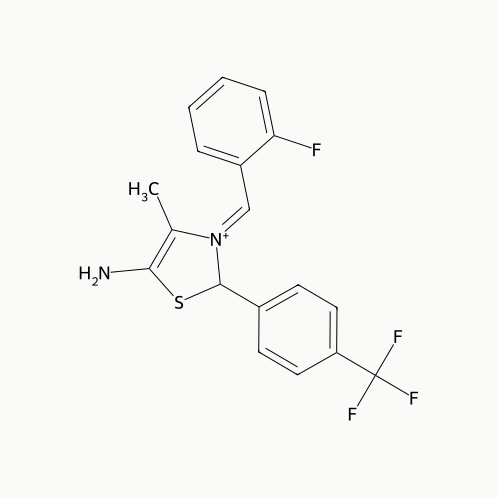 CC1=C(N)SC(c2ccc(C(F)(F)F)cc2)[N+]1=Cc1ccccc1F